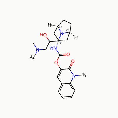 CC(=O)N(C)CC(O)CN1[C@@H]2CC[C@H]1C[C@H](NC(=O)Oc1cc3ccccc3n(C(C)C)c1=O)C2